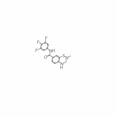 CN1CNc2ccc(C(=O)Nc3cc(F)c(F)c(F)c3)cc2S1